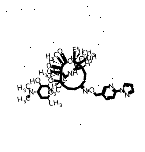 CC[C@H]1OC(=O)[C@H](C)C(=O)[C@H](C)[C@@H](O[C@@H]2O[C@H](C)C[C@H](N(C)C)[C@H]2O)[C@]2(C)CC/C(=N/OCc3ccc(-n4cccn4)nc3)CC[C@H]([C@@H](C)CN[C@H](C)C2)[C@]1(C)O